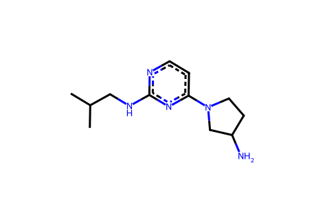 CC(C)CNc1nccc(N2CCC(N)C2)n1